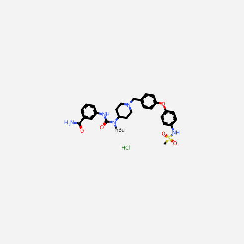 CCCCN(C(=O)Nc1cccc(C(N)=O)c1)C1CCN(Cc2ccc(Oc3ccc(NS(C)(=O)=O)cc3)cc2)CC1.Cl